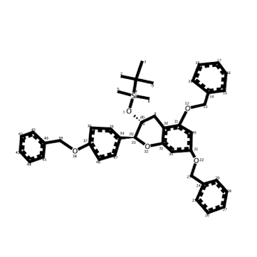 CC(C)(C)[Si](C)(C)O[C@@H]1Cc2c(OCc3ccccc3)cc(OCc3ccccc3)cc2O[C@H]1c1ccc(OCc2ccccc2)cc1